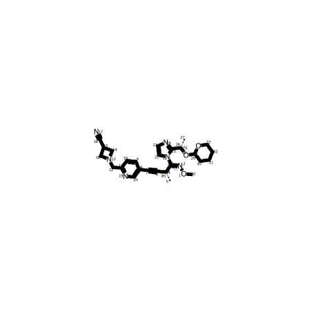 CO/N=C(\[C@H](C)C#Cc1ccc(CN2CC(C#N)C2)nc1)n1ccnc1[C@H](C)OC1CCCCO1